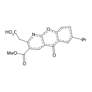 COC(=O)c1cc2c(=O)c3cc(C(C)C)ccc3oc2nc1CC(=O)O